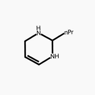 CCCC1NC=CCN1